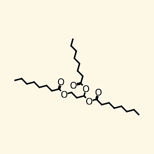 CCCCCCCC(=O)OCCC(OC(=O)CCCCCCC)OC(=O)CCCCCCC